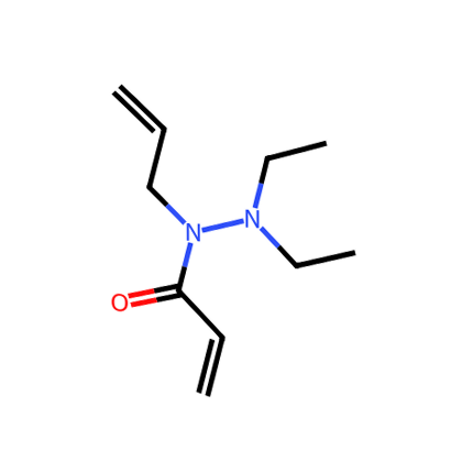 C=CCN(C(=O)C=C)N(CC)CC